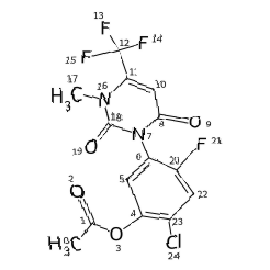 CC(=O)Oc1cc(-n2c(=O)cc(C(F)(F)F)n(C)c2=O)c(F)cc1Cl